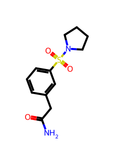 NC(=O)Cc1cccc(S(=O)(=O)N2CCCC2)c1